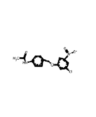 CC(=O)Nc1ccc(COc2cc(Cl)cc([N+](=O)[O-])c2)cc1